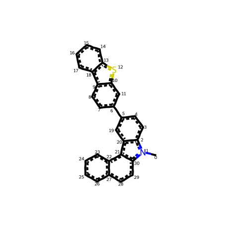 Cn1c2ccc(-c3ccc4c(c3)sc3ccccc34)cc2c2c3ccccc3ccc21